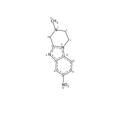 CN1CCn2c(nc3cc([N+](=O)[O-])ccc32)C1